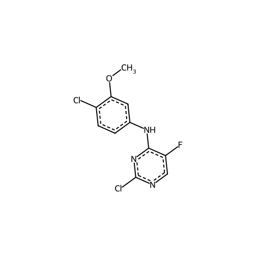 COc1cc(Nc2nc(Cl)ncc2F)ccc1Cl